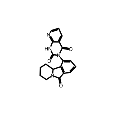 O=C1c2cccc(-n3c(=O)[nH]c4ncccc4c3=O)c2C2CCCCN12